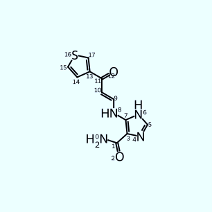 NC(=O)c1nc[nH]c1NC=CC(=O)c1ccsc1